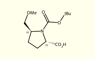 COC[C@@H]1CC[C@@H](C(=O)O)N1C(=O)OC(C)(C)C